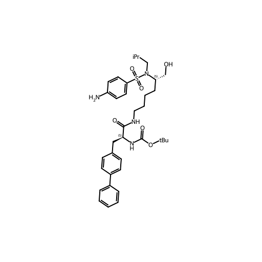 CC(C)CN([C@H](CO)CCCCNC(=O)[C@H](Cc1ccc(-c2ccccc2)cc1)NC(=O)OC(C)(C)C)S(=O)(=O)c1ccc(N)cc1